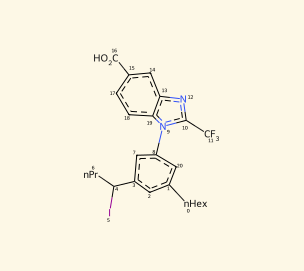 CCCCCCc1cc(C(I)CCC)cc(-n2c(C(F)(F)F)nc3cc(C(=O)O)ccc32)c1